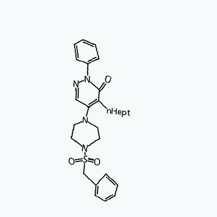 CCCCCCCc1c(N2CCN(S(=O)(=O)Cc3ccccc3)CC2)cnn(-c2ccccc2)c1=O